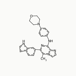 Cc1c(-c2ccc3cc[nH]c3c2)nc(Nc2ccc(N3CCOCC3)cc2)c2nccn12